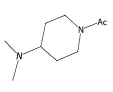 [CH2]C(=O)N1CCC(N(C)C)CC1